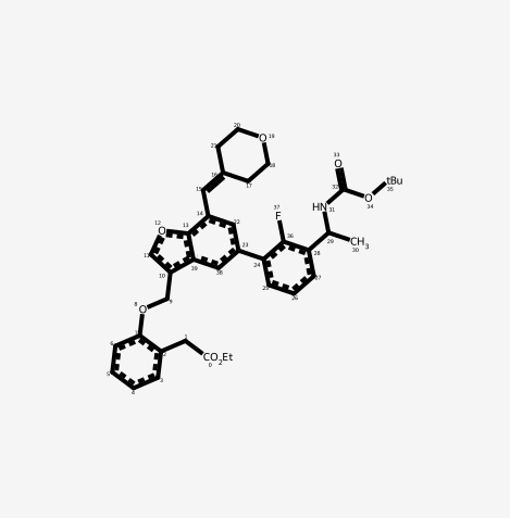 CCOC(=O)Cc1ccccc1OCc1coc2c(C=C3CCOCC3)cc(-c3cccc(C(C)NC(=O)OC(C)(C)C)c3F)cc12